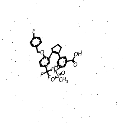 CS(=O)(=O)Nc1cc(C(=O)O)cc(C2=C(c3cc(C(F)(F)F)ccc3OCc3ccc(F)cc3)CCC2)c1